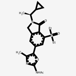 CCP(=O)(CC)c1cc(-c2sc(NC(C)=O)nc2C)cc2c1C(=O)N([C@@H](C)C1CC1)C2